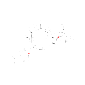 CO[C@]1(C)C[C@@H](C)CN(C)C(C2C[C@H]3CC[C@@H](C2)N3C(=O)CN(C)C)COC(=O)C(C)(C)C(=O)[C@H](C)[C@H]1O[C@H]1C[C@@H](N(C)C)C[C@@H](C)O1